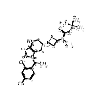 CC(c1ccc(Cl)cc1Cl)n1nnc2c1C[C@@H](N1CC(N(C)C(=O)OC(C)(C)C)C1)CN2